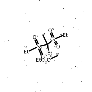 CCC(C)(S(=O)(=O)CC)S(=O)(=O)CC.CCOC(C)=O